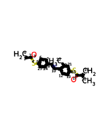 C=CC(=O)Sc1ccc(/C=C/c2ccc(SC(=O)C(=C)C)cc2C)cc1